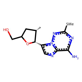 CSc1nc(N)c2ncc([C@@H]3OC(CO)C[C@@H]3C)n2n1